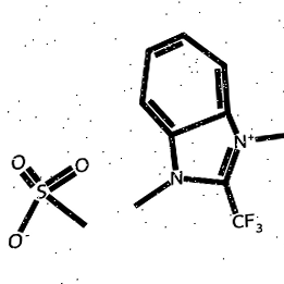 CS(=O)(=O)[O-].Cn1c(C(F)(F)F)[n+](C)c2ccccc21